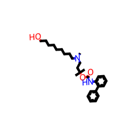 CN(CCCCCCCCCO)CCC(C)(C)OC(=O)Nc1ccccc1-c1ccccc1